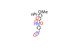 CCCc1c(OC)ccc2cc(C(=O)Nc3ccc(CN4CCOCC4)cc3)c(=O)oc12